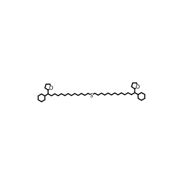 C(CCCCCCC(C1CCCCC1)C1CCCO1)CCCCCSCCCCCCCCCCCCC(C1CCCCC1)C1CCCO1